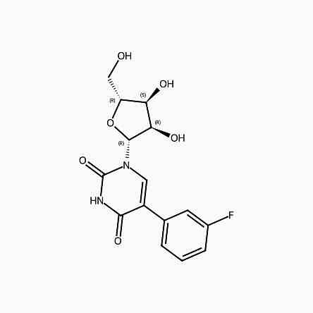 O=c1[nH]c(=O)n([C@@H]2O[C@H](CO)[C@@H](O)[C@H]2O)cc1-c1cccc(F)c1